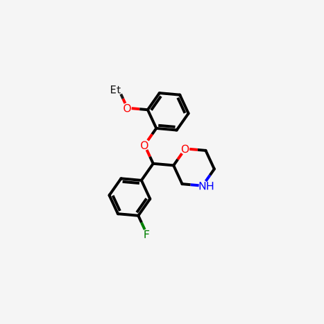 CCOc1ccccc1OC(c1cccc(F)c1)C1CNCCO1